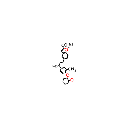 CCOC(=O)c1cc2cc(CCC(CC)c3ccc(OC4CCCCC4=O)c(C)c3)ccc2o1